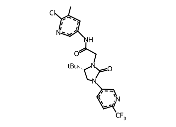 Cc1cc(NC(=O)CN2C(=O)N(c3ccc(C(F)(F)F)nc3)C[C@@H]2C(C)(C)C)cnc1Cl